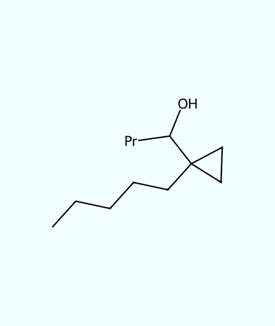 CCCCCC1([CH](O)[Pr])CC1